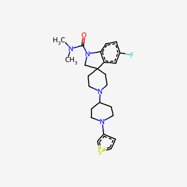 CN(C)C(=O)N1CC2(CCN(C3CCN(c4ccsc4)CC3)CC2)c2cc(F)ccc21